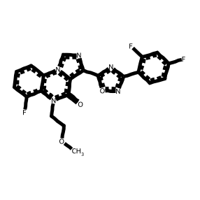 COCCn1c(=O)c2c(-c3nc(-c4ccc(F)cc4F)no3)ncn2c2cccc(F)c21